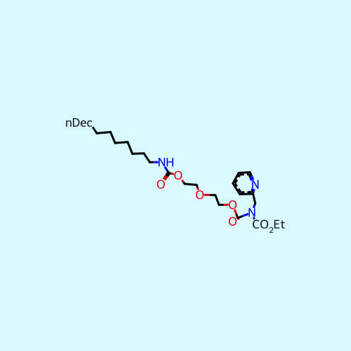 CCCCCCCCCCCCCCCCCNC(=O)OCCOCCOC(=O)N(Cc1ccccn1)C(=O)OCC